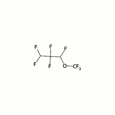 FC(F)C(F)(F)C(F)OC(F)(F)F